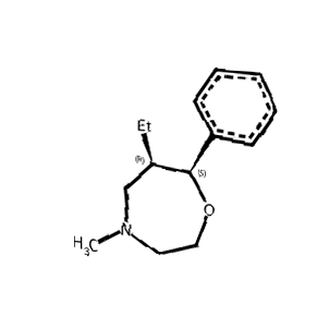 CC[C@@H]1CN(C)CCO[C@@H]1c1ccccc1